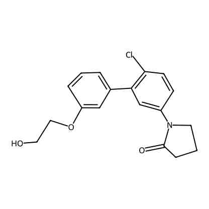 O=C1CCCN1c1ccc(Cl)c(-c2cccc(OCCO)c2)c1